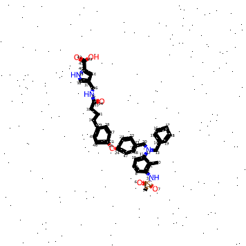 Cc1c(NS(C)(=O)=O)cccc1N(Cc1ccccc1)Cc1ccc(Oc2ccc(CCCC(=O)NCc3c[nH]c(C(=O)O)c3)cc2)cc1